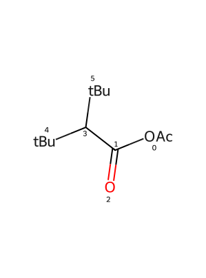 CC(=O)OC(=O)C(C(C)(C)C)C(C)(C)C